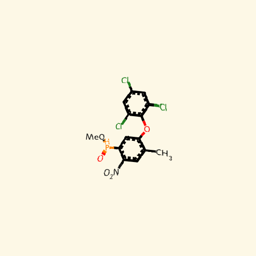 CO[PH](=O)c1cc(Oc2c(Cl)cc(Cl)cc2Cl)c(C)cc1[N+](=O)[O-]